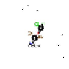 CCCCCCN=Cc1cc(Br)c(OCc2ccc(Cl)c(Cl)c2)c(Br)c1